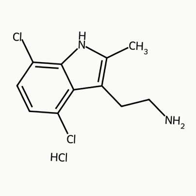 Cc1[nH]c2c(Cl)ccc(Cl)c2c1CCN.Cl